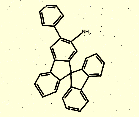 Nc1cc2c(cc1-c1ccccc1)-c1ccccc1C21c2ccccc2-c2ccccc21